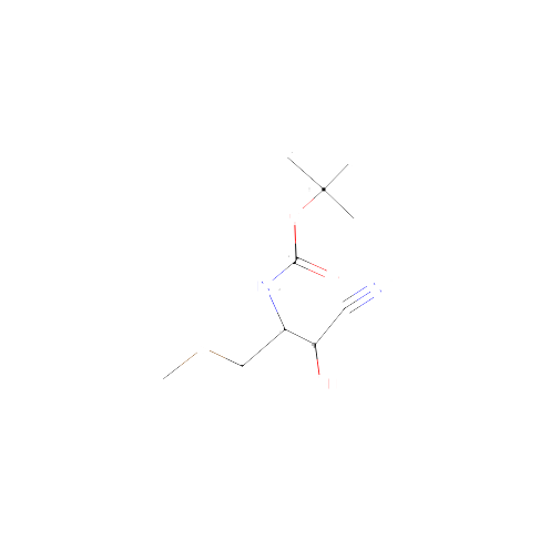 CSCC(NC(=O)OC(C)(C)C)C(O)C#N